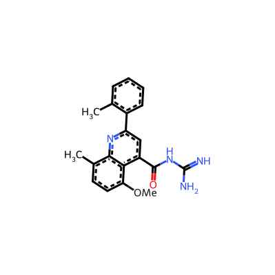 COc1ccc(C)c2nc(-c3ccccc3C)cc(C(=O)NC(=N)N)c12